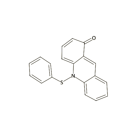 O=c1cccc2n(Sc3ccccc3)c3ccccc3cc1-2